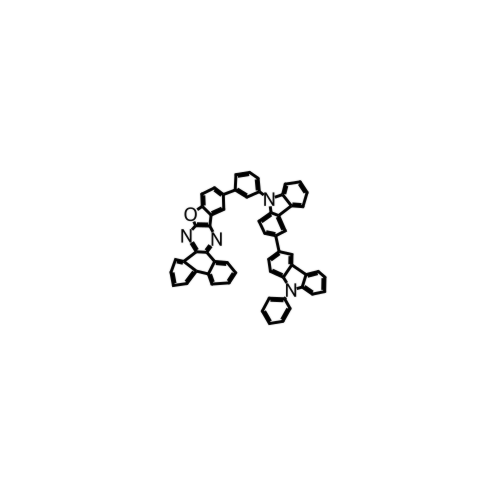 c1ccc(-n2c3ccccc3c3cc(-c4ccc5c(c4)c4ccccc4n5-c4cccc(-c5ccc6oc7nc8c9ccccc9c9ccccc9c8nc7c6c5)c4)ccc32)cc1